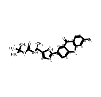 C[C@H](NC(=O)OC(C)(C)C)c1cnc(-c2ccc3oc4cc(Br)ccc4c(=O)c3c2)[nH]1